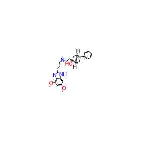 COc1cc(OC)c2nc(CCCN(C)CC[C@]3(O)C[C@H]4CC[C@@H]3C=C4c3ccccc3)[nH]c2c1